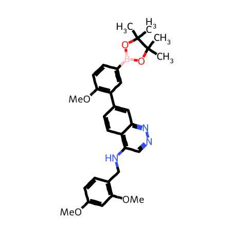 COc1ccc(CNc2cnnc3cc(-c4cc(B5OC(C)(C)C(C)(C)O5)ccc4OC)ccc23)c(OC)c1